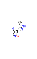 CN(C)Cc1cc(-c2cnc3[nH]cc(CC#N)c3c2)cc2c1CCN(C)C2=O